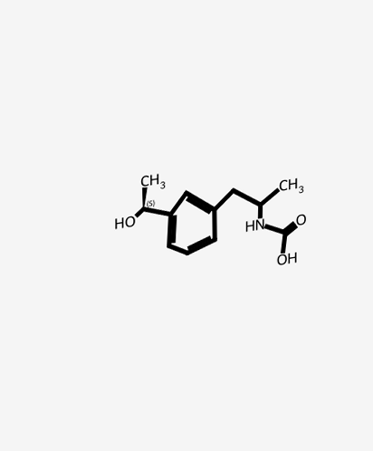 CC(Cc1cccc([C@H](C)O)c1)NC(=O)O